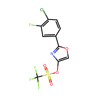 O=S(=O)(Oc1coc(-c2ccc(Cl)c(F)c2)n1)C(F)(F)F